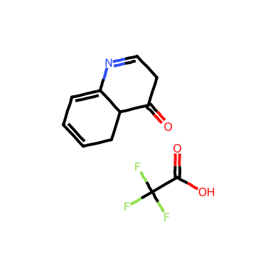 O=C(O)C(F)(F)F.O=C1CC=NC2=CC=CCC12